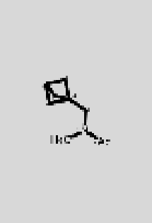 CC(=O)N(C)CC12CC(C1)C2